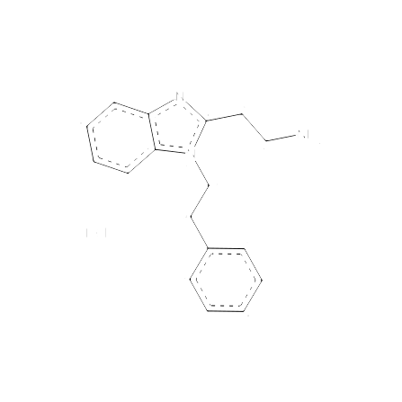 Cl.NCCc1nc2ccccc2n1CCc1ccccc1